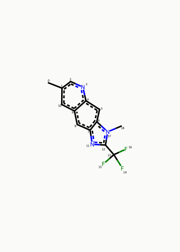 Cc1cnc2cc3c(cc2c1)nc(C(F)(F)F)n3C